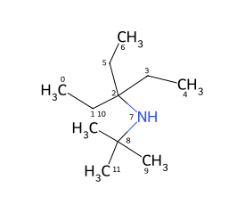 CCC(CC)(CC)NC(C)(C)C